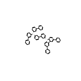 c1ccc(-c2cccc(N(c3cccc(-c4ccccc4)c3)c3cccc(-c4cccc(-n5c6ccc(-c7ccccc7)cc6c6cc(-c7ccccc7)ccc65)c4)c3)c2)cc1